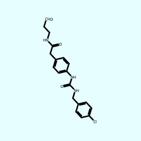 O=CCCNC(=O)Cc1ccc(NC(=O)NCc2ccc(Cl)cc2)cc1